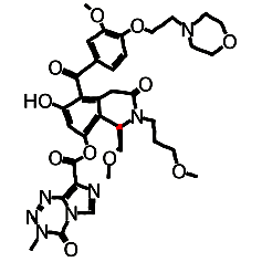 CCc1c(OC(=O)c2ncn3c(=O)n(C)nnc23)cc(O)c(C(=O)c2ccc(OCCN3CCOCC3)c(OC)c2)c1CC(=O)N(CCCOC)CCOC